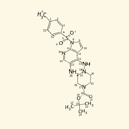 Cc1ccc(S(=O)(=O)n2ccc3c(NN4CCN(C(=O)OC(C)(C)C)CC4)c(N)cnc32)cc1